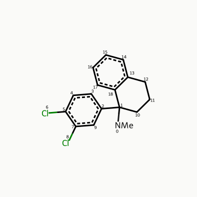 CNC1(c2ccc(Cl)c(Cl)c2)CCCc2ccccc21